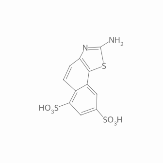 Nc1nc2ccc3c(S(=O)(=O)O)cc(S(=O)(=O)O)cc3c2s1